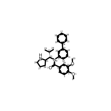 COc1ccc(C(=O)N(c2cccc(-c3ccccc3)c2)[C@@H](C(C)C)C2CCCN2)cc1OC